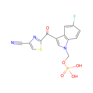 N#Cc1csc(C(=O)c2cn(COP(=O)(O)O)c3ccc(F)cc23)n1